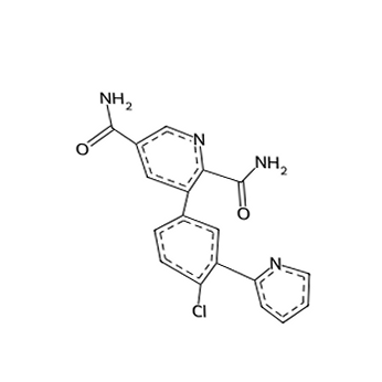 NC(=O)c1cnc(C(N)=O)c(-c2ccc(Cl)c(-c3ccccn3)c2)c1